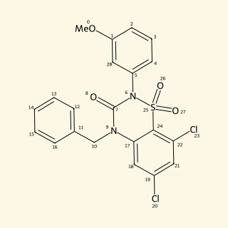 COc1cccc(N2C(=O)N(Cc3ccccc3)c3cc(Cl)cc(Cl)c3S2(=O)=O)c1